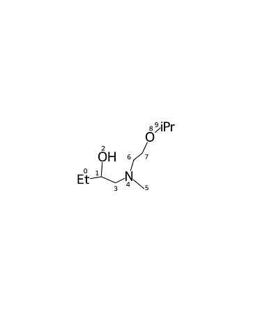 CCC(O)CN(C)CCOC(C)C